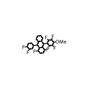 COc1c(F)c(F)c(-c2c3ccccc3c(-c3ccc(F)c(F)c3)c3c(F)ccc(F)c23)c(F)c1F